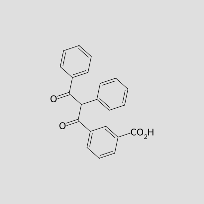 O=C(O)c1cccc(C(=O)C(C(=O)c2ccccc2)c2ccccc2)c1